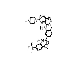 COc1ccc(C(F)(F)F)cc1NC(=O)c1ccc(C)c(Nc2ncnc3cnc(N4CCN(C)CC4)nc23)c1